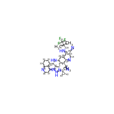 CC1(N2C=C([C@@H](Nc3cc(C#N)c4ncc(C#N)c(NCC(C)(C)C(F)(F)F)c4c3)c3cccc4ncccc34)NN2)CC1